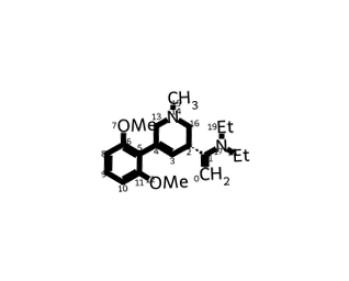 C=C([C@@H]1C=C(c2c(OC)cccc2OC)CN(C)C1)N(CC)CC